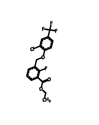 CCOC(=O)c1cccc(COc2ccc(C(F)(F)F)cc2Cl)c1F